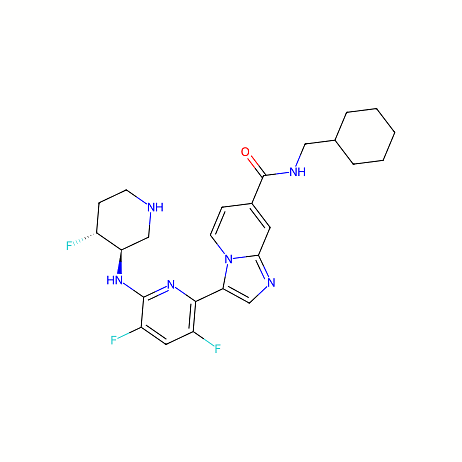 O=C(NCC1CCCCC1)c1ccn2c(-c3nc(N[C@@H]4CNCC[C@H]4F)c(F)cc3F)cnc2c1